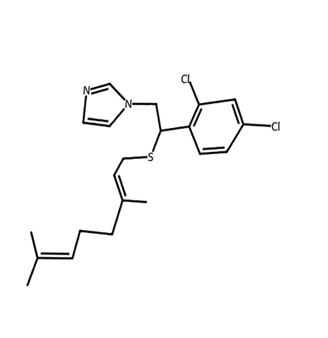 CC(C)=CCC/C(C)=C/CSC(Cn1ccnc1)c1ccc(Cl)cc1Cl